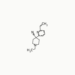 C=Cc1cccc(C2(C#N)CCN(CC)CC2)n1